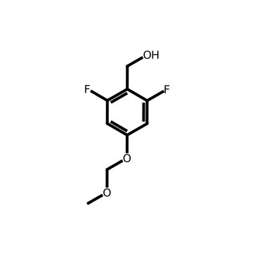 COCOc1cc(F)c(CO)c(F)c1